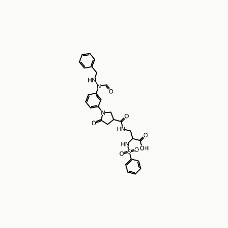 O=CN(NCc1ccccc1)c1cccc(N2CC(C(=O)NCC(NS(=O)(=O)c3ccccc3)C(=O)O)CC2=O)c1